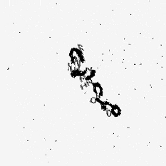 O=C(C1COc2ccccc2C1)N1CCCC(Nc2ccnc(-c3cnc4ccc(F)cn34)n2)C1